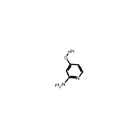 CCCOc1ccnc(N)c1